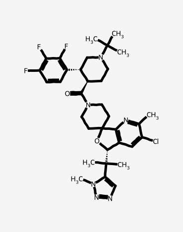 Cc1nc2c(cc1Cl)[C@H](C(C)(C)c1cnnn1C)OC21CCN(C(=O)[C@@H]2CCN(C(C)(C)C)C[C@H]2c2ccc(F)c(F)c2F)CC1